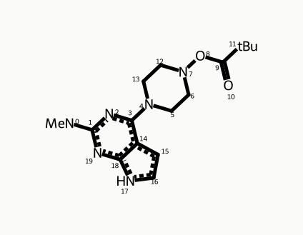 CNc1nc(N2CCN(OC(=O)C(C)(C)C)CC2)c2cc[nH]c2n1